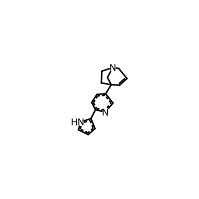 C1=CC2(c3ccc(-c4ccc[nH]4)nc3)CCN(C1)C2